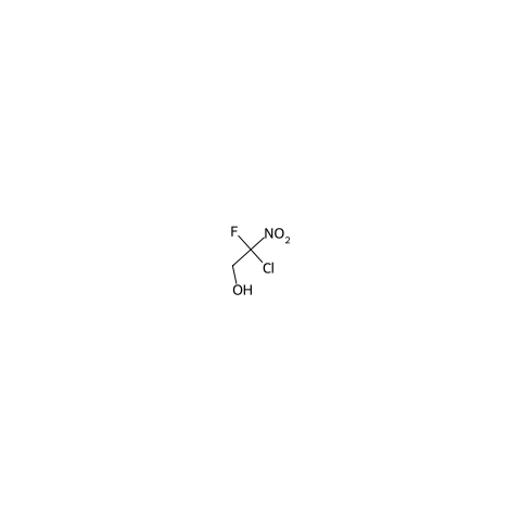 O=[N+]([O-])C(F)(Cl)CO